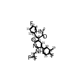 CNC(=O)c1c(-c2ccc(F)cc2)oc2nc(NCC(F)F)c(-c3ccc(F)c(C)c3)cc12